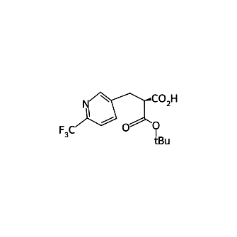 CC(C)(C)OC(=O)[C@@H](Cc1ccc(C(F)(F)F)nc1)C(=O)O